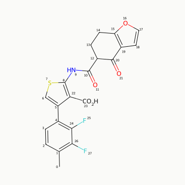 Cc1ccc(-c2csc(NC(=O)C3CCc4occc4C3=O)c2C(=O)O)c(F)c1F